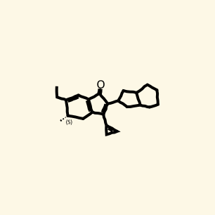 CCC1=CC2=C(C[C@@H]1C)C(C1=CC1)=C(C1CC3CCCCC3C1)C2=O